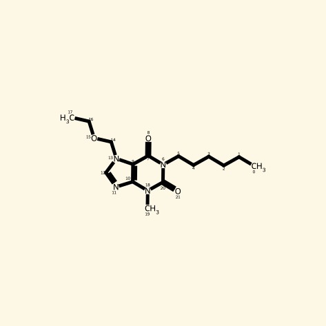 CCCCCCn1c(=O)c2c(ncn2COCC)n(C)c1=O